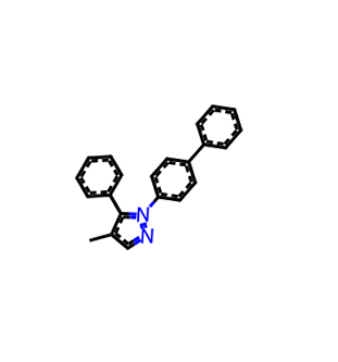 Cc1cnn(-c2ccc(-c3ccccc3)cc2)c1-c1ccccc1